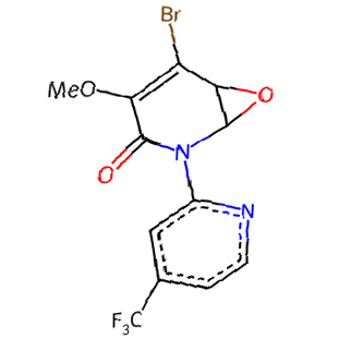 COC1=C(Br)C2OC2N(c2cc(C(F)(F)F)ccn2)C1=O